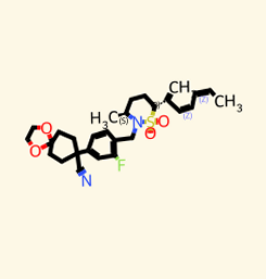 C=C(/C=C\C=C/C)[C@H]1CC[C@H](C)N(Cc2ccc(C3(C#N)CCC4(CC3)OCCO4)cc2F)S1(=O)=O